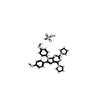 COc1ccc(-c2cc3c(N4CCCC4)nc(N4CCCC4)nc3n2-c2ccc(OC)cc2)cc1.CS(=O)(=O)O